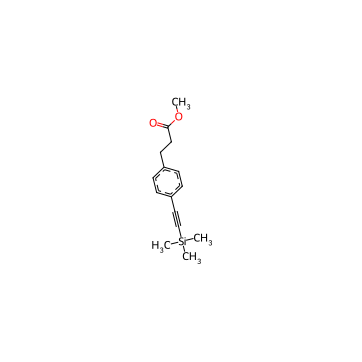 COC(=O)CCc1ccc(C#C[Si](C)(C)C)cc1